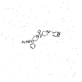 CC(=O)NC1(c2ccccc2)CCN(C(=O)C2(F)CCN(Cc3ccnnc3)CC2)CC1